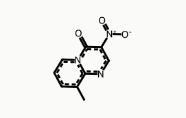 Cc1cccn2c(=O)c([N+](=O)[O-])cnc12